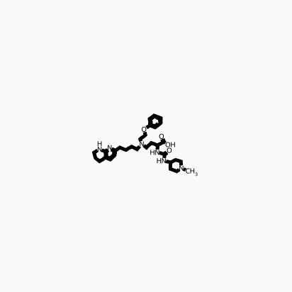 CN1CCC(NC(=O)NC(CCN(CCCCc2ccc3c(n2)NCCC3)CCOc2ccccc2)C(=O)O)CC1